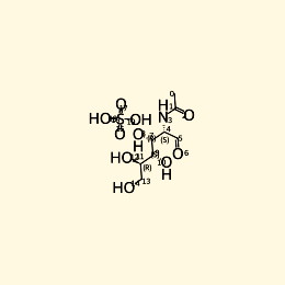 CC(=O)N[C@H](C=O)[C@@H](O)[C@H](O)[C@H](O)CO.O=S(=O)(O)O